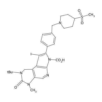 CN1C(=O)N(C(C)(C)C)Cc2c1cnc1c2c(I)c(-c2ccc(CN3CCC(S(C)(=O)=O)CC3)cc2)n1C(=O)O